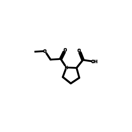 COCC(=O)N1CCCC1C(=O)O